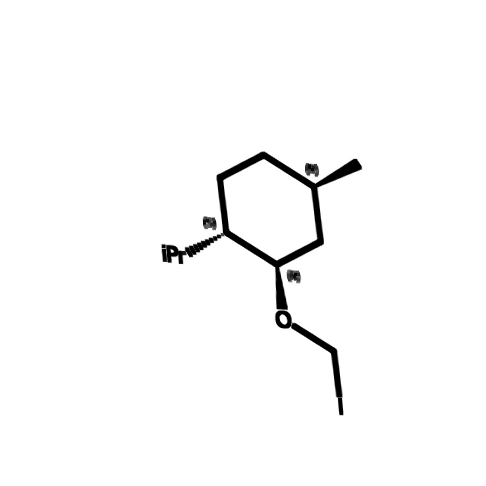 CC(C)[C@@H]1CC[C@@H](C)C[C@H]1OCI